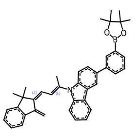 C=C1/C(=C\C=C(/C)n2c3ccccc3c3cc(-c4cccc(B5OC(C)(C)C(C)(C)O5)c4)ccc32)C(C)(C)c2ccccc21